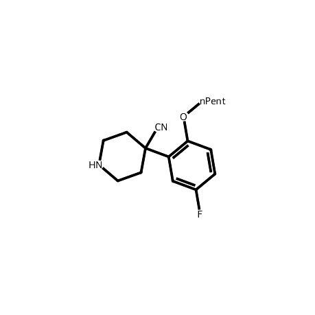 CCCCCOc1ccc(F)cc1C1(C#N)CCNCC1